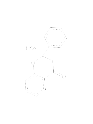 O=C1CC([SeH])(c2ccccc2)Oc2ccccc21